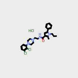 CCCn1c(-c2ccccc2)cc(C(=O)NCCN2CCN(c3cccc(Cl)c3Cl)CC2)c1C.Cl